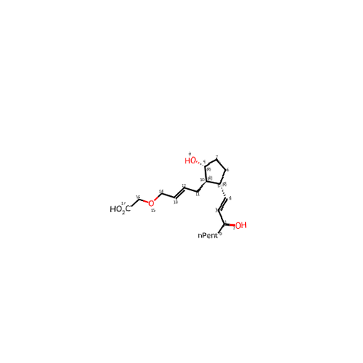 CCCCCC(O)C=C[C@H]1CC[C@@H](O)[C@@H]1CC=CCOCC(=O)O